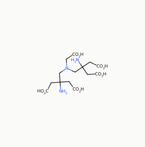 NC(CC(=O)O)(CC(=O)O)CN(CC(=O)O)CC(N)(CC(=O)O)CC(=O)O